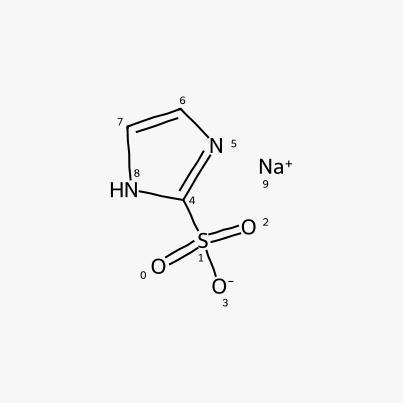 O=S(=O)([O-])c1ncc[nH]1.[Na+]